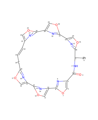 CC(C)C1NC(=O)c2coc(n2)-c2coc(n2)-c2coc(n2)C/C=C/c2coc(n2)-c2coc(n2)-c2coc1n2